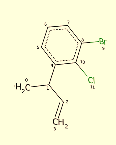 [CH2]C(C=C)c1cccc(Br)c1Cl